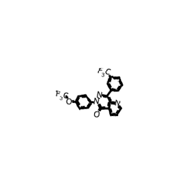 O=c1c2cccnc2c(-c2cccc(C(F)(F)F)c2)nn1-c1ccc(OC(F)(F)F)cc1